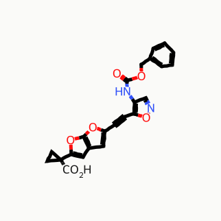 O=C(Nc1cnoc1C#Cc1cc2cc(C3(C(=O)O)CC3)oc2o1)OCc1ccccc1